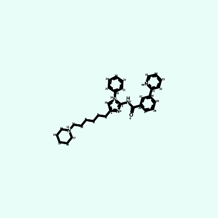 O=C(Nc1nc(CCCCCCN2CCCCC2)cn1-c1ccccc1)c1cccc(-c2ccccn2)c1